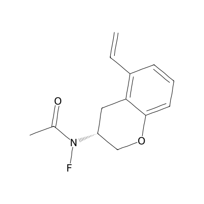 C=Cc1cccc2c1C[C@@H](N(F)C(C)=O)CO2